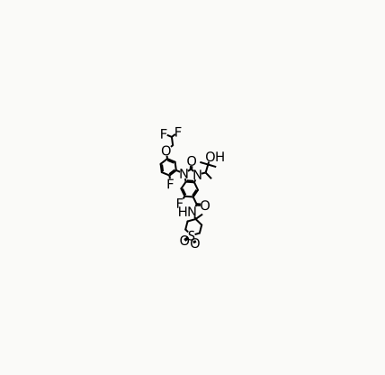 CC(n1c(=O)n(-c2cc(OCC(F)F)ccc2F)c2cc(F)c(C(=O)NC3(C)CCS(=O)(=O)CC3)cc21)C(C)(C)O